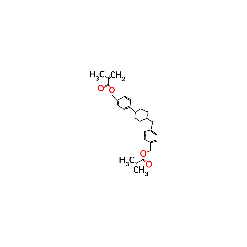 C=C(C)C(=O)OCc1ccc(C2CCC(Cc3ccc(COC(=O)C(C)C)cc3)CC2)cc1